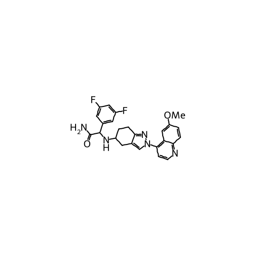 COc1ccc2nccc(-n3cc4c(n3)CCC(NC(C(N)=O)c3cc(F)cc(F)c3)C4)c2c1